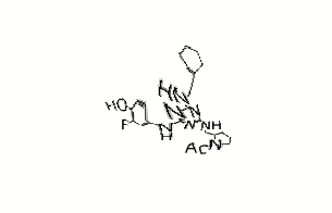 CC(=O)N1CCCC1CNc1nc(NCC2CCCCC2)nc(Nc2ccc(O)c(F)c2)n1